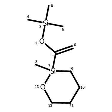 C=C(O[Si](C)(C)C)[Si]1(C)CCCCO1